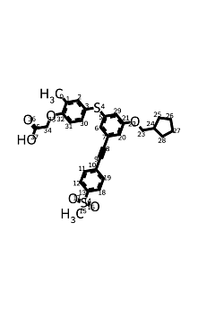 Cc1cc(Sc2cc(C#Cc3ccc(S(C)(=O)=O)cc3)cc(OCC3CCCC3)c2)ccc1OCC(=O)O